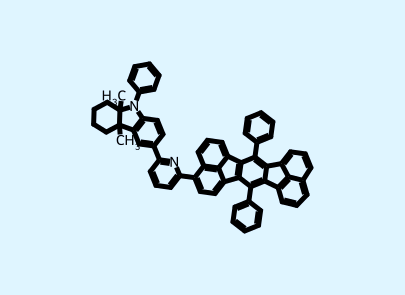 CC12CCCCC1(C)N(c1ccccc1)c1ccc(-c3cccc(-c4ccc5c6c(-c7ccccc7)c7c8cccc9cccc(c7c(-c7ccccc7)c6c6cccc4c65)c98)n3)cc12